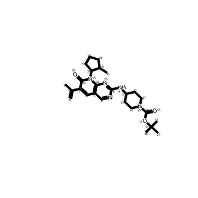 C=C(C)c1cc2cnc(NC3CCN(C(=O)OC(C)(C)C)CC3)nc2n(C2CCCC2C)c1=O